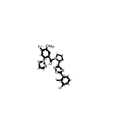 COc1cc(C(=O)N2CCCC2c2noc(-c3cccc(F)c3C)n2)c(-n2nccn2)cc1F